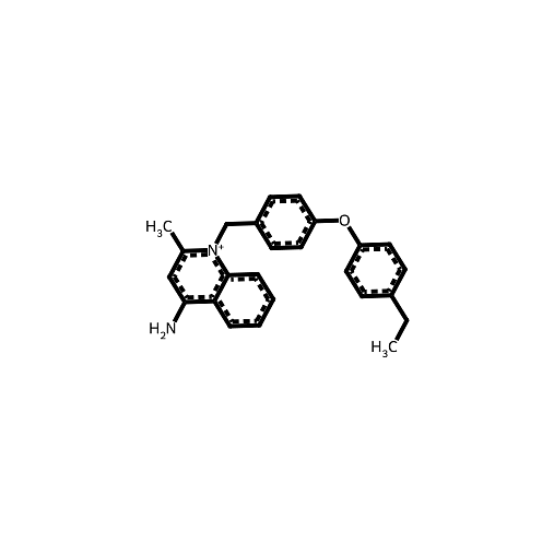 CCc1ccc(Oc2ccc(C[n+]3c(C)cc(N)c4ccccc43)cc2)cc1